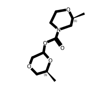 C[C@H]1CN(C(=O)OC2COC[C@H](C)O2)CCO1